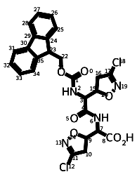 O=C(NC(C(=O)NC(C(=O)O)C1CC(Cl)=NO1)C1CC(Cl)=NO1)OCC1c2ccccc2-c2ccccc21